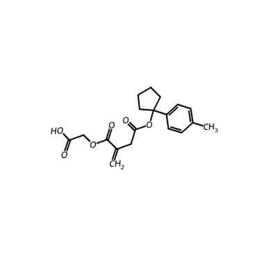 C=C(CC(=O)OC1(c2ccc(C)cc2)CCCC1)C(=O)OCC(=O)O